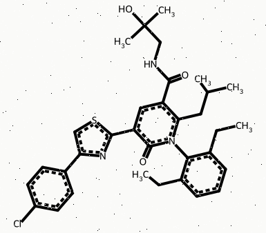 CCc1cccc(CC)c1-n1c(CC(C)C)c(C(=O)NCC(C)(C)O)cc(-c2nc(-c3ccc(Cl)cc3)cs2)c1=O